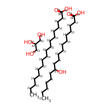 CCCCCCC(O)CCCCCCCCCCC(=O)O.CCCCCCCCCCCCCCCCCC(=O)O.OCC(O)CO